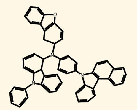 C1=CC(N(c2ccc(-n3c4ccccc4c4c5ccccc5ccc43)cc2)C2C=Cc3oc4ccccc4c3C2)C2C(=C1)N(c1ccccc1)c1ccccc12